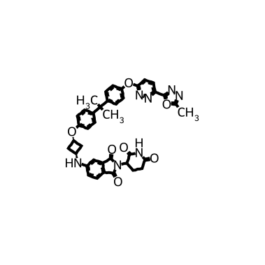 Cc1nnc(-c2ccc(Oc3ccc(C(C)(C)c4ccc(O[C@H]5C[C@H](Nc6ccc7c(c6)C(=O)N(C6CCC(=O)NC6=O)C7=O)C5)cc4)cc3)nn2)o1